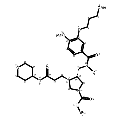 COCCCOc1cc(C(=O)N(C[C@@H]2CN(C(=O)OC(C)(C)C)C[C@H]2CCC(=O)NC2CCOCC2)C(C)C)ccc1OC